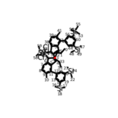 CCCC1=Cc2c(ccc(C)c2-c2cc([Si](C)(C)C)cc([Si](C)(C)C)c2)[CH]1[Zr]([Cl])([Cl])([CH]1C(CCC)=Cc2c1ccc(C)c2-c1cc([Si](C)(C)C)cc([Si](C)(C)C)c1)[SiH](C)C